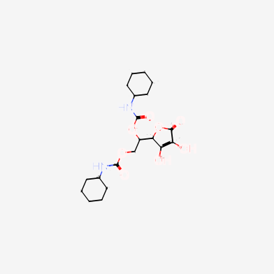 O=C(NC1CCCCC1)OCC(OC(=O)NC1CCCCC1)C1OC(=O)C(O)=C1O